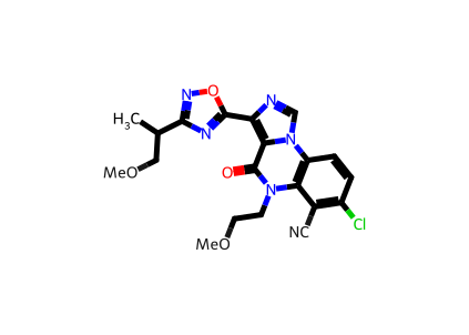 COCCn1c(=O)c2c(-c3nc(C(C)COC)no3)ncn2c2ccc(Cl)c(C#N)c21